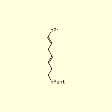 [CH2]CCCCCCC=CCC=CCCC